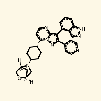 c1cc(-c2c(-c3ccncc3)nn3c2nccc3[C@H]2CC[C@@H](N3C[C@@H]4C[C@H]3CO4)CC2)c2cn[nH]c2c1